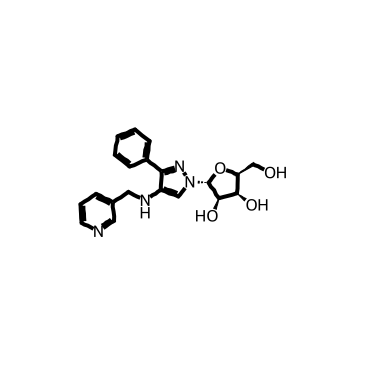 OC[C@@H]1O[C@@H](n2cc(NCc3cccnc3)c(-c3ccccc3)n2)[C@H](O)[C@@H]1O